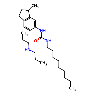 CCCCCCCCCNC(=O)Nc1ccc2c(c1)C(C)CC2.CCCNCCC